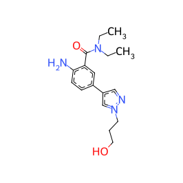 CCN(CC)C(=O)c1cc(-c2cnn(CCCO)c2)ccc1N